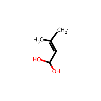 [CH2]C(C)=CC(O)O